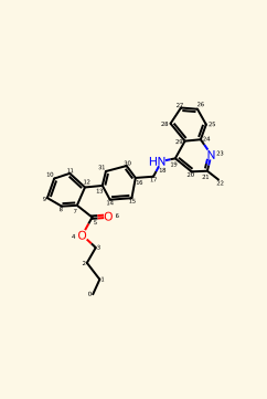 CCCCOC(=O)c1ccccc1-c1ccc(CNc2cc(C)nc3ccccc23)cc1